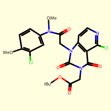 COc1ccc(N(OC)C(=O)Cn2c(=O)n(CC(=O)OC(C)(C)C)c(=O)c3c(Cl)nccc32)cc1Cl